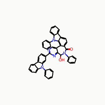 O=C1c2ccc3c4ccccc4n(-c4ccccc4)c3c2-c2cnc(-c3ccc4c5ccccc5n(-c5ccccc5)c4c3)nc2C(O)N1c1ccccc1